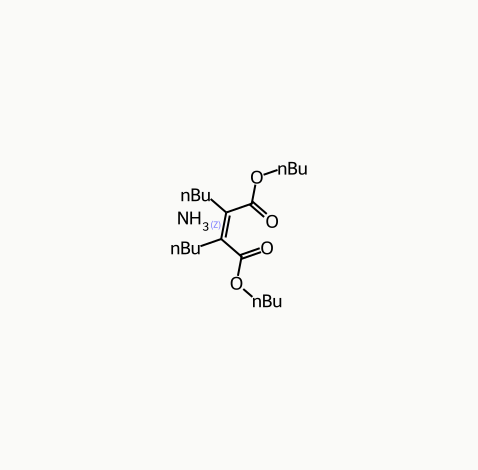 CCCCOC(=O)/C(CCCC)=C(/CCCC)C(=O)OCCCC.N